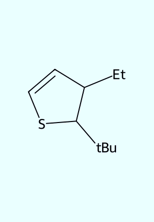 CCC1C=CSC1C(C)(C)C